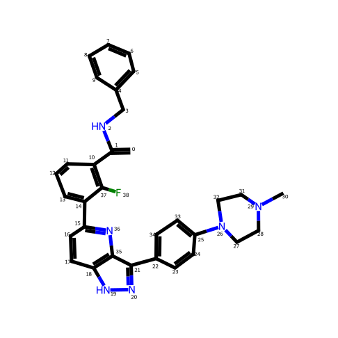 C=C(NCc1ccccc1)c1cccc(-c2ccc3[nH]nc(-c4ccc(N5CCN(C)CC5)cc4)c3n2)c1F